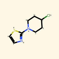 ClC1CCN(c2n[c]cs2)CC1